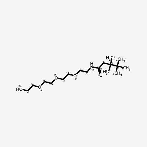 CC(C)(C)C(C)(C)CC(=O)NCCOCCOCCOCCO